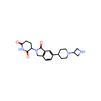 O=C1CCC(N2Cc3ccc(C4CCN(C5CNC5)CC4)cc3C2=O)C(=O)N1